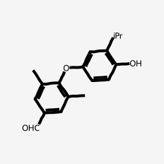 Cc1cc(C=O)cc(C)c1Oc1ccc(O)c(C(C)C)c1